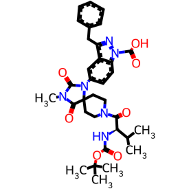 CC(C)[C@@H](NC(=O)OC(C)(C)C)C(=O)N1CCC2(CC1)C(=O)N(C)C(=O)N2c1ccc2c(c1)c(Cc1ccccc1)nn2C(=O)O